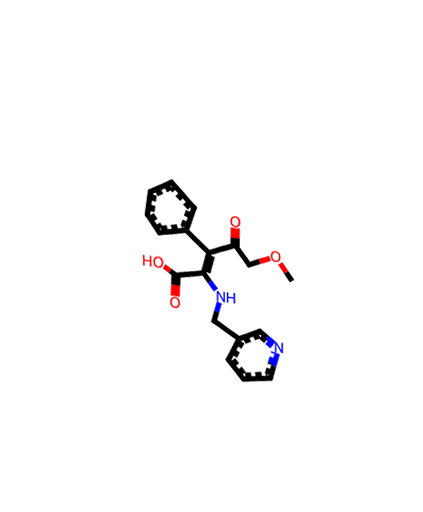 COCC(=O)C(=C(NCc1cccnc1)C(=O)O)c1ccccc1